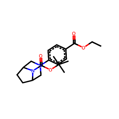 CCOC(=O)c1ccc(N2CC3CCC(C2)N3C(=O)OC(C)(C)C)cc1